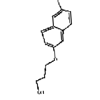 OCCCOc1ccc2cc(I)ccc2c1